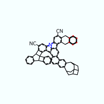 N#Cc1cc2c(c3c1C1c4ccccc4C3c3ccccc31)c1cc3c4cc5c(cc4ccc3c3c4c6c(c(C#N)cc4n2c13)C1c2ccccc2C2c3ccccc3C621)C1CC2CC3CC5CC23C1